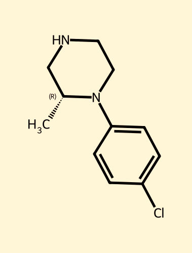 C[C@@H]1CNCCN1c1ccc(Cl)cc1